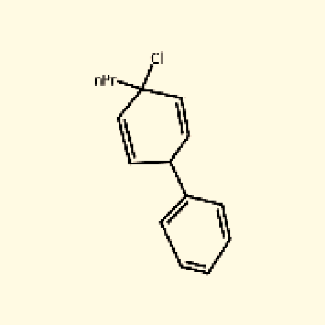 CCCC1(Cl)[C]=CC(c2ccccc2)C=C1